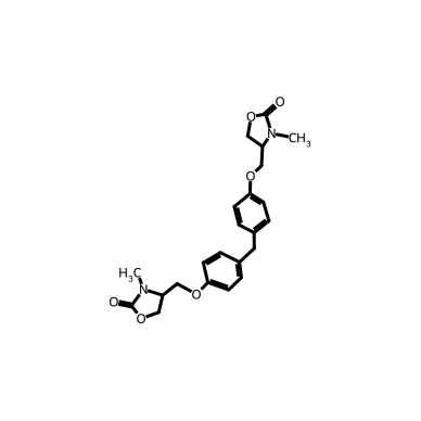 CN1C(=O)OCC1COc1ccc(Cc2ccc(OCC3COC(=O)N3C)cc2)cc1